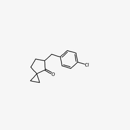 O=C1C(Cc2ccc(Cl)cc2)CCC12CC2